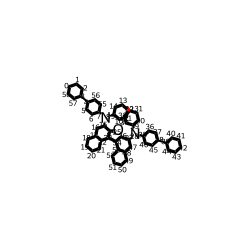 c1ccc(-c2ccc(N(c3ccccc3)c3cc4ccccc4c4c3oc3c(N(c5ccccc5)c5ccc(-c6ccccc6)cc5)cc5ccccc5c34)cc2)cc1